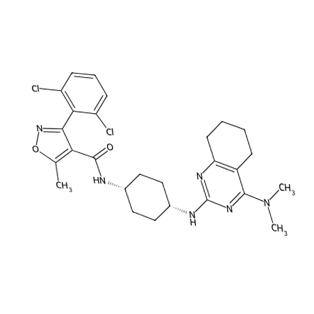 Cc1onc(-c2c(Cl)cccc2Cl)c1C(=O)N[C@H]1CC[C@@H](Nc2nc3c(c(N(C)C)n2)CCCC3)CC1